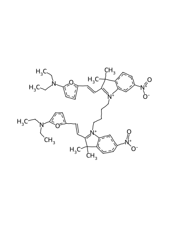 CCN(CC)c1ccc(/C=C/C2=[N+](CCCC[N+]3=C(/C=C/c4ccc(N(CC)CC)o4)C(C)(C)c4ccc([N+](=O)[O-])cc43)c3cc([N+](=O)[O-])ccc3C2(C)C)o1